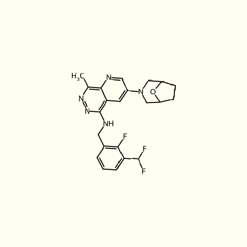 Cc1nnc(NCc2cccc(C(F)F)c2F)c2cc(N3CC4CCC(C3)O4)cnc12